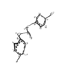 Cc1ccc(OC(=S)Sc2ccc(C)cc2)cc1